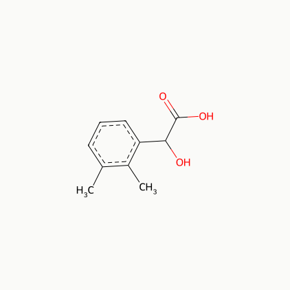 Cc1cccc(C(O)C(=O)O)c1C